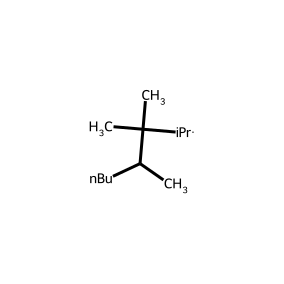 C[CH]CCC(C)C(C)(C)[C](C)C